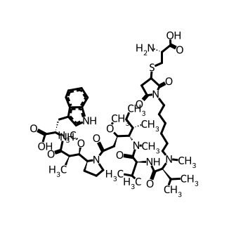 CC[C@H](C)[C@@H]([C@@H](CC(=O)N1CCC[C@H]1[C@H](OC)[C@@H](C)C(=O)N[C@@H](Cc1c[nH]c2ccccc12)C(=O)O)OC)N(C)C(=O)[C@@H](NC(=O)[C@H](C(C)C)N(C)CCCCCCN1C(=O)CC(SC[C@H](N)C(=O)O)C1=O)C(C)C